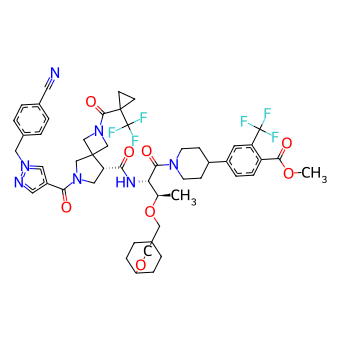 COC(=O)c1ccc(C2CCN(C(=O)[C@@H](NC(=O)[C@@H]3CN(C(=O)c4cnn(Cc5ccc(C#N)cc5)c4)CC34CN(C(=O)C3(C(F)(F)F)CC3)C4)[C@@H](C)OCC34CCC(CC3)OC4)CC2)cc1C(F)(F)F